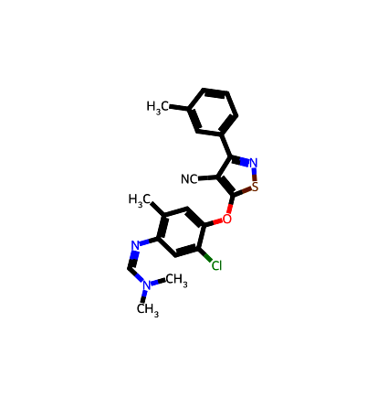 Cc1cccc(-c2nsc(Oc3cc(C)c(/N=C\N(C)C)cc3Cl)c2C#N)c1